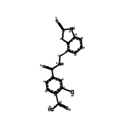 O=C1Cc2c(CNC(=O)c3ccc(C(=O)O)c(Cl)c3)cccc2N1